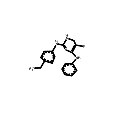 NCc1ccc(NC2=NC(Nc3ccccc3)=C(F)CN2)cc1